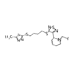 Cc1nnc(SCCCCSc2nsnc2C2C=CCCN2CI)s1